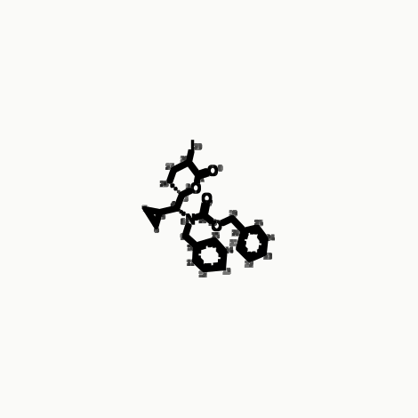 O=C1O[C@H]([C@@H](C2CC2)N(Cc2ccccc2)C(=O)OCc2ccccc2)CCC1I